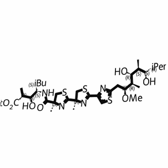 CCC[C@@H](C)[C@H](O)[C@H](C)[C@@H](O)[C@@H](C)[C@H](Cc1nc(C2=N[C@@](C)(C3=N[C@@](C)(C(=O)N[C@H]([C@@H](O)[C@@H](C)C(=O)OCC)[C@@H](C)CC)CS3)CS2)cs1)OC